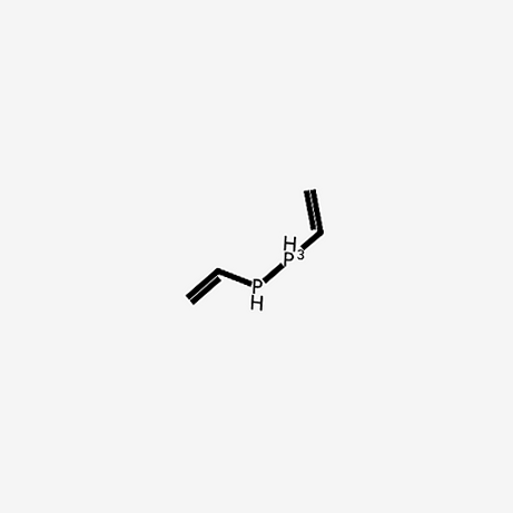 C=CP[PH3]C=C